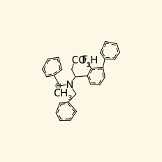 C[C@H](c1ccccc1)N(Cc1ccccc1)C(CC(=O)O)c1cccc(-c2ccccc2)c1F